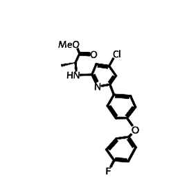 COC(=O)[C@H](C)Nc1cc(Cl)cc(-c2ccc(Oc3ccc(F)cc3)cc2)n1